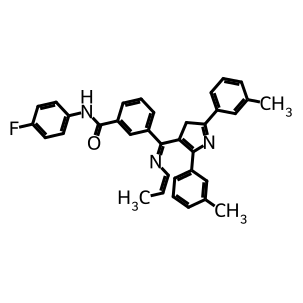 C/C=C\N=C(/C1=C(c2cccc(C)c2)N=C(c2cccc(C)c2)C1)c1cccc(C(=O)Nc2ccc(F)cc2)c1